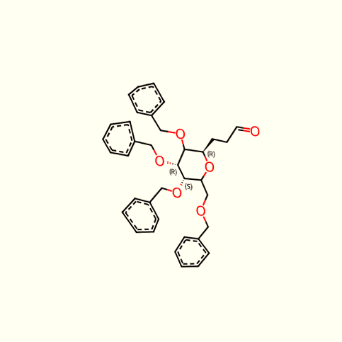 O=CCC[C@H]1OC(COCc2ccccc2)[C@H](OCc2ccccc2)[C@H](OCc2ccccc2)C1OCc1ccccc1